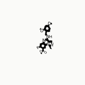 COC(=O)c1cc2c(cc1F)nc(NCc1ccc(OC)cc1OC)c1cnc(C)n12